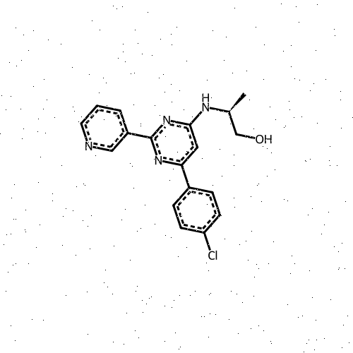 C[C@@H](CO)Nc1cc(-c2ccc(Cl)cc2)nc(-c2cccnc2)n1